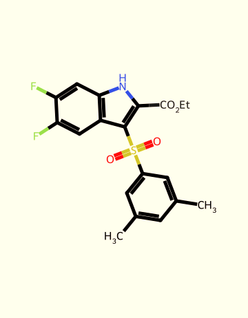 CCOC(=O)c1[nH]c2cc(F)c(F)cc2c1S(=O)(=O)c1cc(C)cc(C)c1